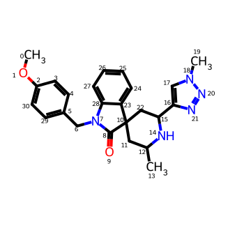 COc1ccc(CN2C(=O)C3(CC(C)NC(c4cn(C)nn4)C3)c3ccccc32)cc1